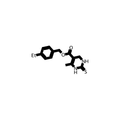 CCc1ccc(COC(=O)C2=C(C)NC(=S)NC2)cc1